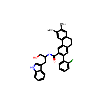 COc1cc2c(cc1OC)-c1cc(C(=O)NC(CO)Cc3c[nH]c4ccccc34)c(-c3ccccc3F)cc1CC2